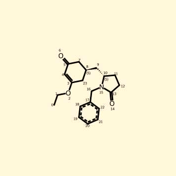 CCOC1=CC(=O)C[C@@H](C[C@@H]2CCC(=O)N2Cc2ccccc2)C1